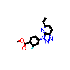 C=Cc1ccc2nnn(-c3ccc(C(=O)OC)c(F)c3)c2n1